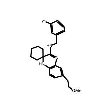 COCCc1ccc2c(c1)N=C(NCc1cccc(Cl)c1)C1(CCCCC1)N2